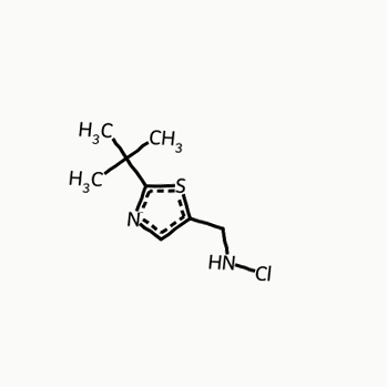 CC(C)(C)c1ncc(CNCl)s1